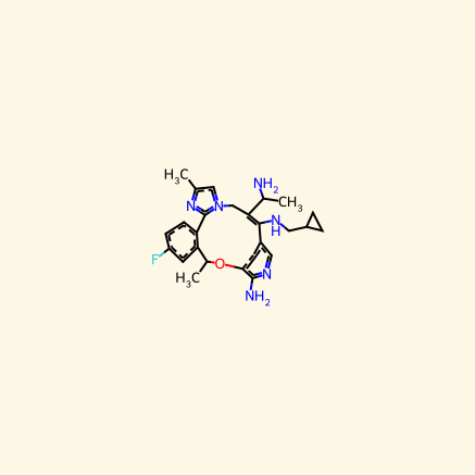 Cc1cn2c(n1)-c1ccc(F)cc1C(C)Oc1cc(cnc1N)/C(NCC1CC1)=C(/C(C)N)C2